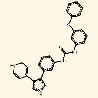 O=C(Nc1cccc(Oc2ccccc2)c1)Nc1cccc(-c2n[nH]cc2C2=CCNC=C2)c1